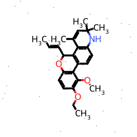 CC=CC1Oc2ccc(OCC)c(OC)c2-c2ccc3c(c21)C(C)=CC(C)(C)N3